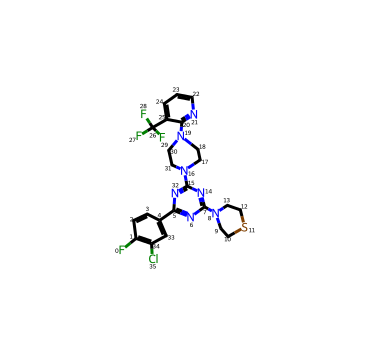 Fc1ccc(-c2nc(N3CCSCC3)nc(N3CCN(c4ncccc4C(F)(F)F)CC3)n2)cc1Cl